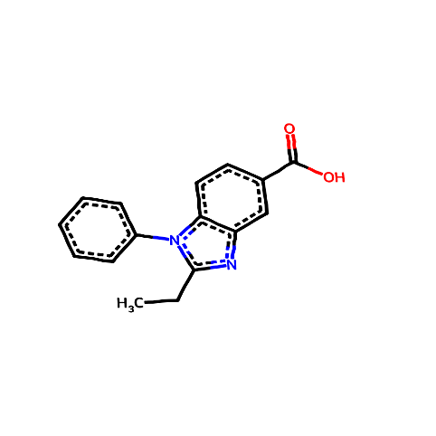 CCc1nc2cc(C(=O)O)ccc2n1-c1ccccc1